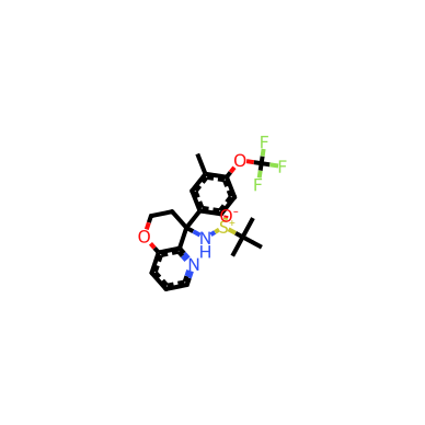 Cc1cc(C2(N[S+]([O-])C(C)(C)C)CCOc3cccnc32)ccc1OC(F)(F)F